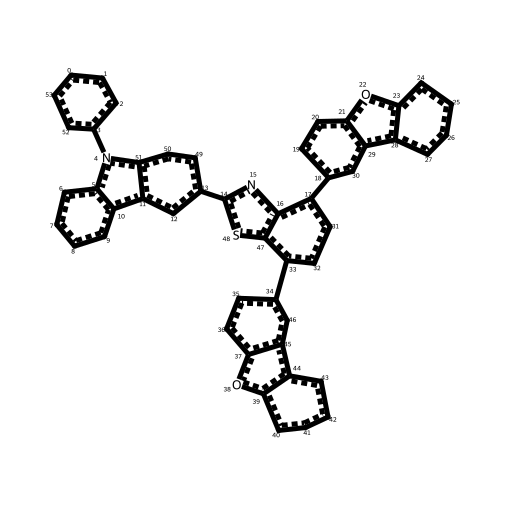 c1ccc(-n2c3ccccc3c3cc(-c4nc5c(-c6ccc7oc8ccccc8c7c6)ccc(-c6ccc7oc8ccccc8c7c6)c5s4)ccc32)cc1